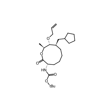 C=CCO[C@@H]1[C@@H](CC2CCCC2)CCCC[C@H](NC(=O)OC(C)(C)C)C(=O)O[C@H]1C